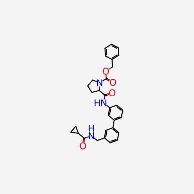 O=C(NCc1cccc(-c2cccc(NC(=O)C3CCCN3C(=O)OCc3ccccc3)c2)c1)C1CC1